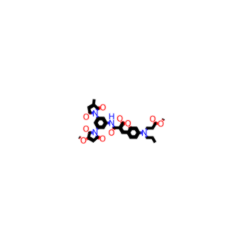 CCCN(CCC(=O)OC)c1ccc2cc(C(=O)Nc3cc(N4C(=O)C=C(C)C4=O)cc(N4C(=O)C=C(OC)C4=O)c3)c(=O)oc2c1